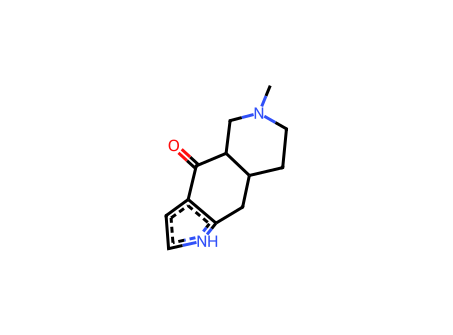 CN1CCC2Cc3[nH]ccc3C(=O)C2C1